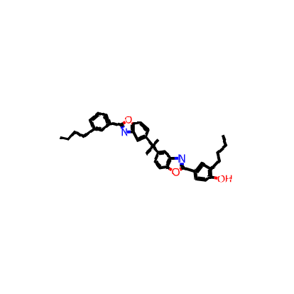 CCCCc1cccc(-c2nc3cc(C(C)(C)c4ccc5oc(-c6ccc(O)c(CCCC)c6)nc5c4)ccc3o2)c1